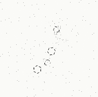 C[C@@]1(COc2ccc(-c3coc(-c4ccc(Cl)cc4)n3)cc2)Cn2cc([N+](=O)[O-])nc2O1